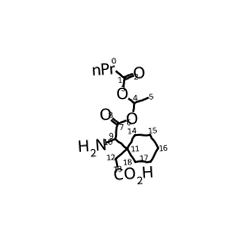 CCCC(=O)OC(C)OC(=O)C(N)C1(CC(=O)O)CCCCC1